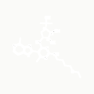 CCOCCCCNc1nc(C)c(-c2nc3c(C)nccc3s2)c(NC2C[C@H](C(C)(C)O)[C@@H](O)[C@H]2O)n1